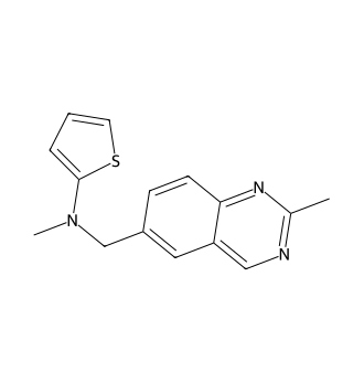 Cc1ncc2cc(CN(C)c3cccs3)ccc2n1